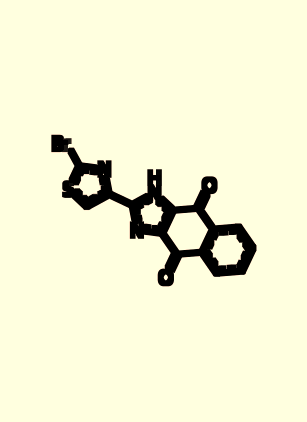 O=C1c2ccccc2C(=O)c2[nH]c(-c3csc(Br)n3)nc21